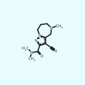 CN1CCCn2nc(C(=O)N(C)C)c(C#N)c2C1